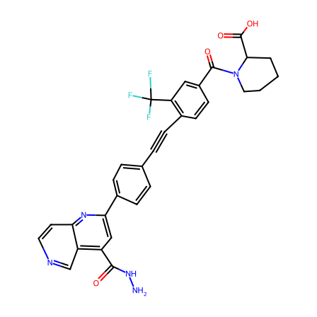 NNC(=O)c1cc(-c2ccc(C#Cc3ccc(C(=O)N4CCCCC4C(=O)O)cc3C(F)(F)F)cc2)nc2ccncc12